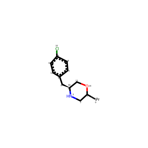 CC(C)C1CN[C@@H](Cc2ccc(Cl)cc2)CO1